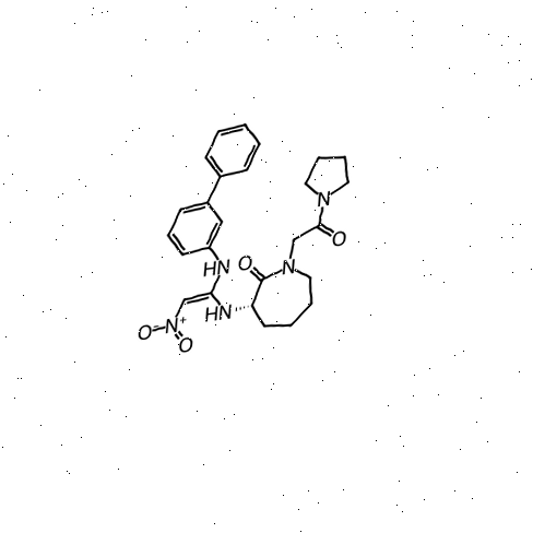 O=C(CN1CCCC[C@H](NC(=C[N+](=O)[O-])Nc2cccc(-c3ccccc3)c2)C1=O)N1CCCC1